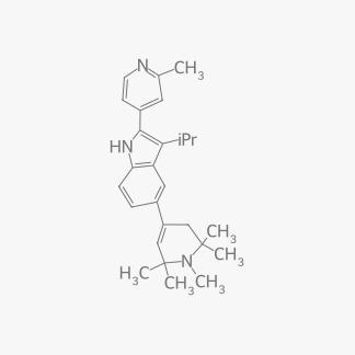 Cc1cc(-c2[nH]c3ccc(C4=CC(C)(C)N(C)C(C)(C)C4)cc3c2C(C)C)ccn1